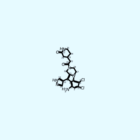 Nc1cc(Cl)c(Cl)c2c1c(-c1cn[nH]c1)c1n2CCN(C(=O)CC2CCNC(=O)C2)C1